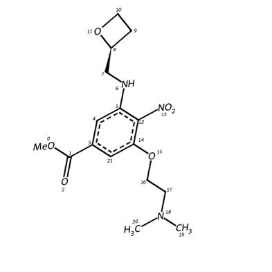 COC(=O)c1cc(NC[C@@H]2CCO2)c([N+](=O)[O-])c(OCCN(C)C)c1